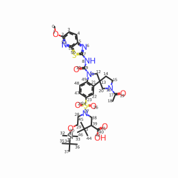 COc1ccc2nc(NC(=O)N3CC4(CCN(C(C)=O)C4)c4cc(S(=O)(=O)N(CCO[Si](C)(C)C(C)(C)C)CC(C(=O)O)C(C)(C)C)ccc43)sc2n1